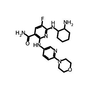 NC(=O)c1cc(F)c(NC2CCCCC2N)nc1Nc1ccc(N2CCOCC2)nc1